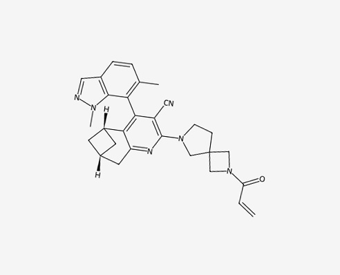 C=CC(=O)N1CC2(CCN(c3nc4c(c(-c5c(C)ccc6cnn(C)c56)c3C#N)[C@H]3C[C@@H](C4)C3)C2)C1